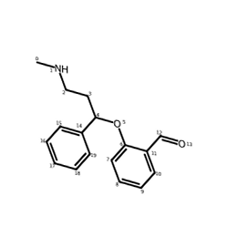 CNCCC(Oc1ccccc1C=O)c1ccccc1